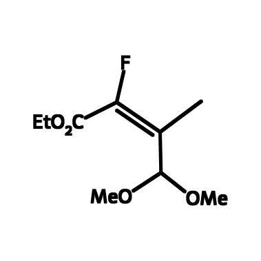 CCOC(=O)C(F)=C(C)C(OC)OC